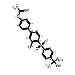 CC(O)(c1ccc(S(=O)(=O)c2ccc(-c3ccc(OC(N)=O)cc3)cc2Cl)cc1)C(F)(F)F